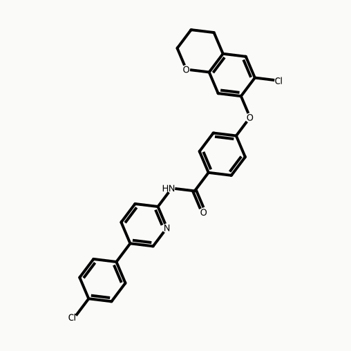 O=C(Nc1ccc(-c2ccc(Cl)cc2)cn1)c1ccc(Oc2cc3c(cc2Cl)CCCO3)cc1